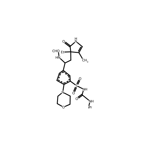 CCC1(CC(NC=O)c2ccc(N3CCOCC3)c(S(=O)(=O)NC(=O)NC(C)C)c2)C(=O)NC=C1C